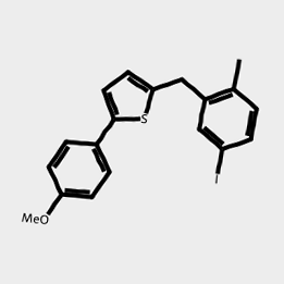 COc1ccc(-c2ccc(Cc3cc(I)ccc3C)s2)cc1